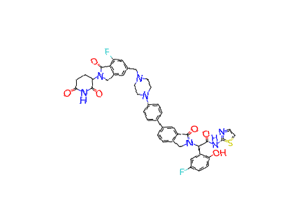 O=C1CCC(N2Cc3cc(CN4CCN(c5ccc(-c6ccc7c(c6)C(=O)N(C(C(=O)Nc6nccs6)c6cc(F)ccc6O)C7)cc5)CC4)cc(F)c3C2=O)C(=O)N1